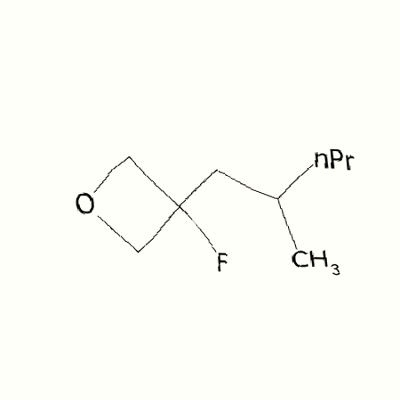 CCCC(C)CC1(F)COC1